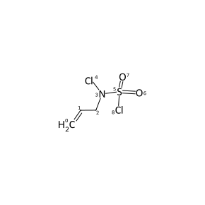 C=CCN(Cl)S(=O)(=O)Cl